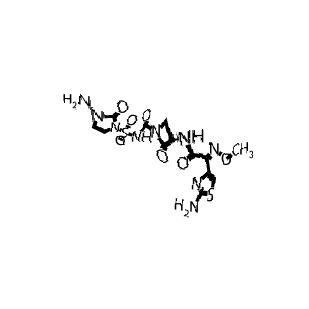 CON=C(C(=O)N[C@H]1CN(C(=O)NS(=O)(=O)N2CCN(N)C2=O)C1=O)c1csc(N)n1